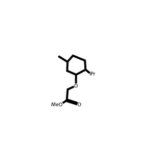 COC(=O)COC1CC(C)CCC1C(C)C